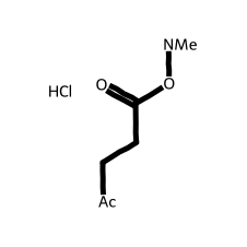 CNOC(=O)CCC(C)=O.Cl